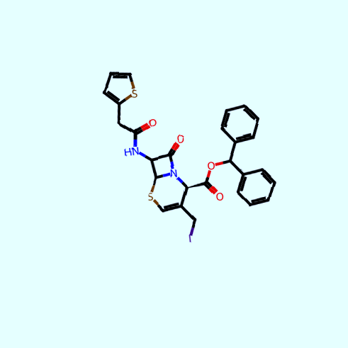 O=C(Cc1cccs1)NC1C(=O)N2C1SC=C(CI)[C@@H]2C(=O)OC(c1ccccc1)c1ccccc1